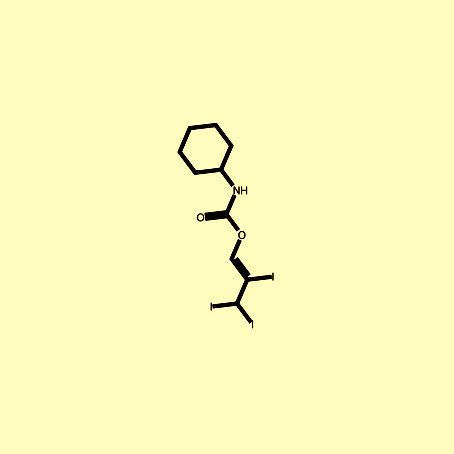 O=C(NC1CCCCC1)OC=C(I)C(I)I